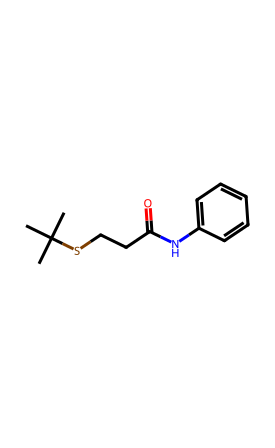 CC(C)(C)SCCC(=O)Nc1ccccc1